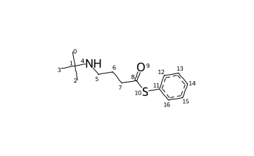 CC(C)(C)NCCCC(=O)Sc1ccccc1